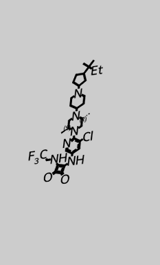 CCC(C)(C)C1CCC(N2CCC(N3C[C@H](C)N(c4ncc(Nc5c(NCC(F)(F)F)c(=O)c5=O)cc4Cl)C[C@H]3C)CC2)C1